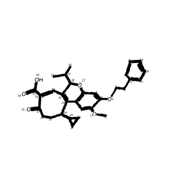 COc1cc2c(cc1OCCc1ccccc1)OC(C(C)C)C1=C2C(C2CC2)CCC(=O)/C(C(=O)O)=C\1